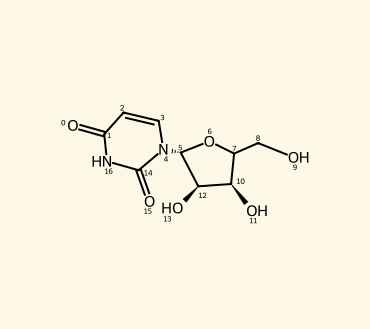 O=c1ccn([C@@H]2OC(CO)[C@@H](O)[C@H]2O)c(=O)[nH]1